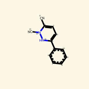 N#CC1=CC=C(c2ccccc2)NN1C#N